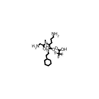 CN(C(=O)CN)C(CCCN)C(=O)NCCC1CCCCC1.O=C(O)C(F)(F)F